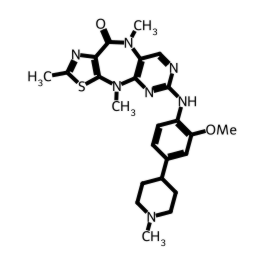 COc1cc(C2CCN(C)CC2)ccc1Nc1ncc2c(n1)N(C)c1sc(C)nc1C(=O)N2C